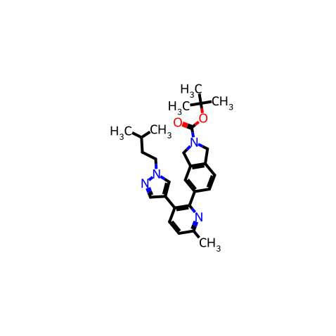 Cc1ccc(-c2cnn(CCC(C)C)c2)c(-c2ccc3c(c2)CN(C(=O)OC(C)(C)C)C3)n1